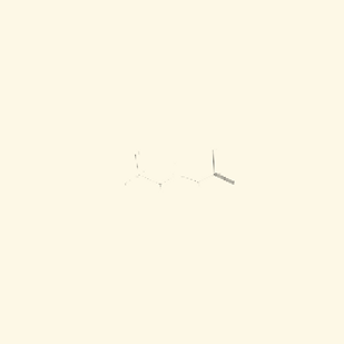 C=C(C)COC[Si](C)C